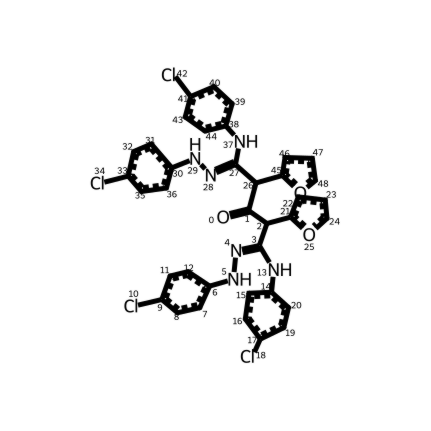 O=C(C(C(=NNc1ccc(Cl)cc1)Nc1ccc(Cl)cc1)c1ccco1)C(C(=NNc1ccc(Cl)cc1)Nc1ccc(Cl)cc1)c1ccco1